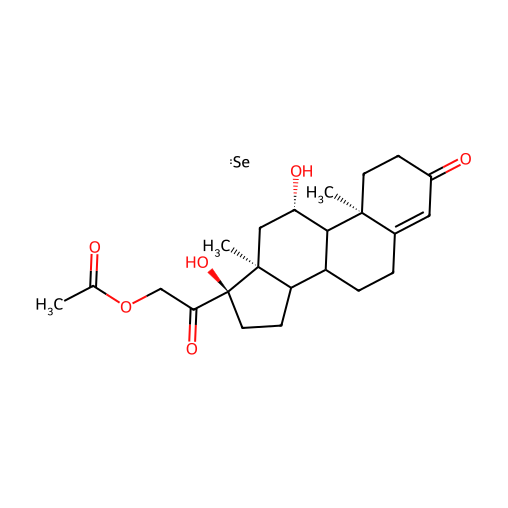 CC(=O)OCC(=O)[C@@]1(O)CCC2C3CCC4=CC(=O)CC[C@]4(C)C3[C@@H](O)C[C@@]21C.[Se]